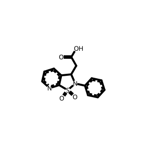 O=C(O)CC1c2cccnc2S(=O)(=O)N1c1ccccc1